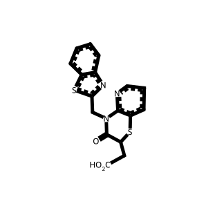 O=C(O)CC1Sc2cccnc2N(Cc2nc3ccccc3s2)C1=O